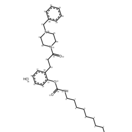 CCCCCCCCCCCCCCCCCCNC(=O)Oc1ccccc1CCC(=O)N1CCN(Cc2ccccc2)CC1.Cl